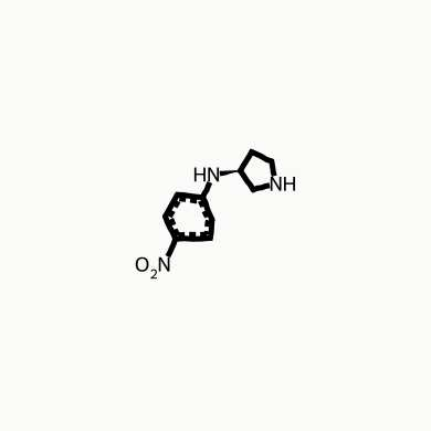 O=[N+]([O-])c1ccc(N[C@H]2CCNC2)cc1